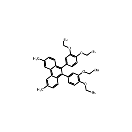 CCC(C)COc1ccc(-c2c(-c3ccc(OCC(C)CC)c(OCC(C)CC)c3)c3ccc(C)cc3c3cc(C)ccc23)cc1OCC(C)CC